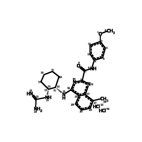 COc1ccc(NC(=O)c2nc(N[C@H]3CCCC[C@H]3NC(=N)N)c3cccc(C)c3n2)cc1.Cl.Cl